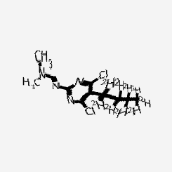 [2H]C([2H])([2H])C([2H])([2H])C([2H])([2H])C([2H])([2H])c1c(Cl)nc(N=CN(C)C)nc1Cl